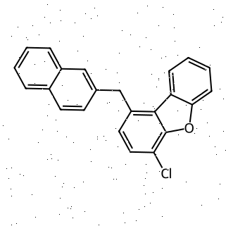 Clc1ccc(Cc2ccc3ccccc3c2)c2c1oc1ccccc12